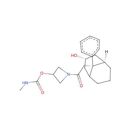 CNC(=O)OC1CN(C(=O)C[C@@]2(c3ccccc3)C3CCC[C@@H]2C[C@@H](O)C3)C1